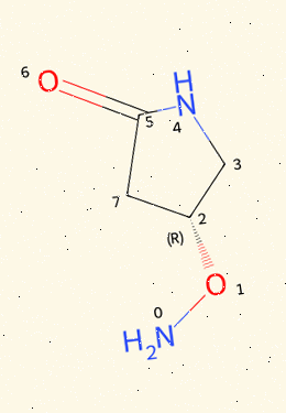 NO[C@H]1CNC(=O)C1